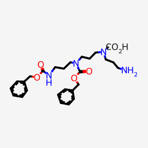 NCCCN(CCCN(CCCNC(=O)OCc1ccccc1)C(=O)OCc1ccccc1)C(=O)O